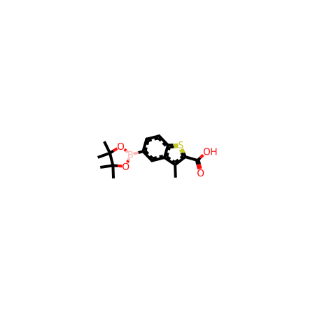 Cc1c(C(=O)O)sc2ccc(B3OC(C)(C)C(C)(C)O3)cc12